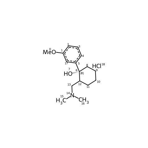 COc1cccc([C@@]2(O)CCCCC2CN(C)C)c1.Cl